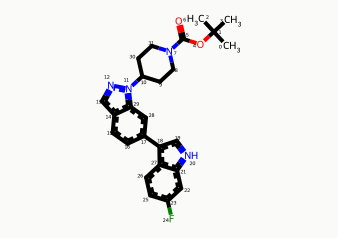 CC(C)(C)OC(=O)N1CCC(n2ncc3ccc(-c4c[nH]c5cc(F)ccc45)cc32)CC1